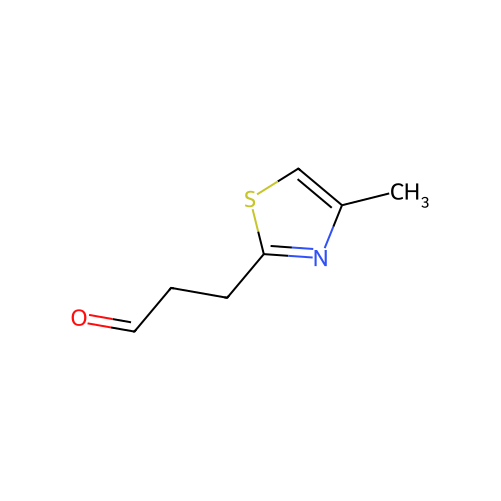 Cc1csc(CCC=O)n1